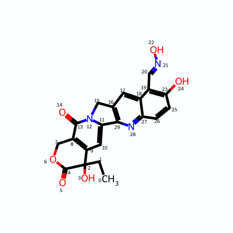 CCC1(O)C(=O)OCc2c1cc1n(c2=O)Cc2cc3c(C=NO)c(O)ccc3nc2-1